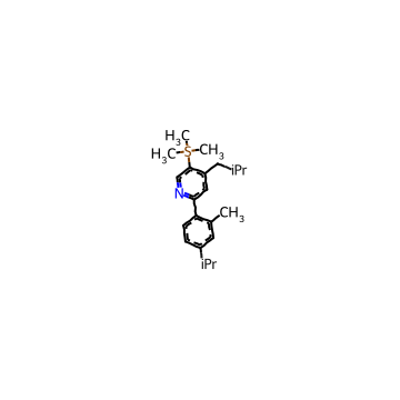 Cc1cc(C(C)C)ccc1-c1cc(CC(C)C)c(S(C)(C)C)cn1